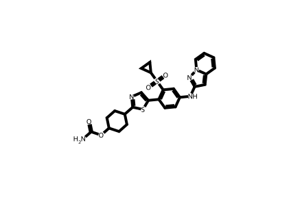 NC(=O)OC1CCC(c2ncc(-c3ccc(Nc4cc5ccccn5n4)cc3S(=O)(=O)C3CC3)s2)CC1